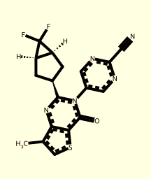 Cc1csc2c(=O)n(-c3cnc(C#N)nc3)c([C@H]3C[C@@H]4[C@H](C3)C4(F)F)nc12